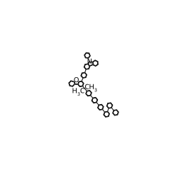 CC(C)(c1ccc(-c2ccc(-c3ccc(-c4ccccc4-c4ccccc4-c4ccccc4)cc3)cc2)cc1)c1cc(-c2ccc(-c3ccc4c(c3)c3ccccc3n4-c3ccccc3)cc2)c2oc3ccccc3c2c1